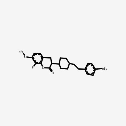 CCCCc1ccc(CCC2CCC(C3Cc4ccc(OCCC)c(F)c4OC3=O)CC2)cc1